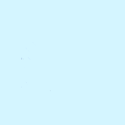 CCCCCCCCCCCCCCOc1cc(C(=O)Nc2cccc(C[n+]3ccsc3)c2)ccc1OC.[Br-]